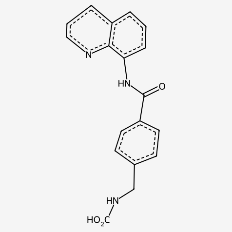 O=C(O)NCc1ccc(C(=O)Nc2cccc3cccnc23)cc1